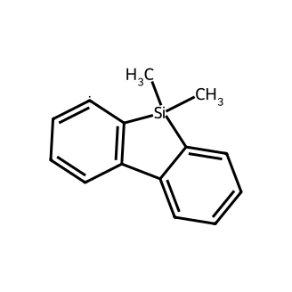 C[Si]1(C)c2[c]cccc2-c2ccccc21